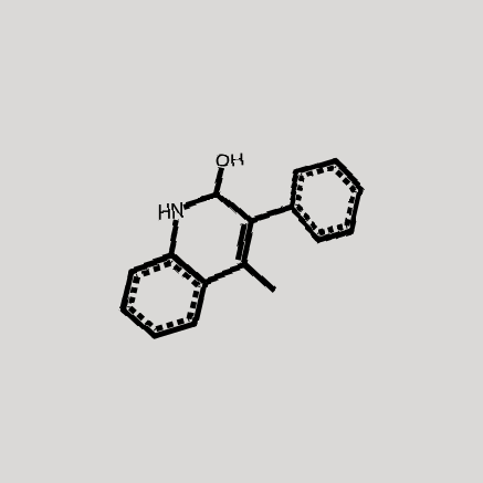 CC1=C(c2ccccc2)C(O)Nc2ccccc21